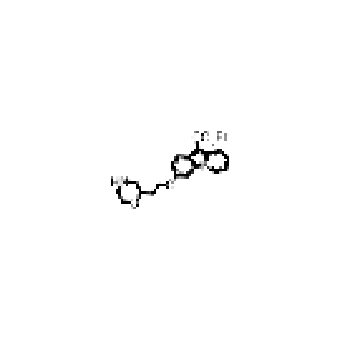 CCOC(=O)c1c2ccc(OCCC3CNCCO3)cc2n2ccccc12